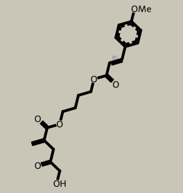 C=C(CC(=O)CO)C(=O)OCCCCOC(=O)/C=C/c1ccc(OC)cc1